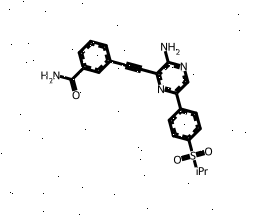 CC(C)S(=O)(=O)c1ccc(-c2cnc(N)c(C#Cc3cccc(C(N)=O)c3)n2)cc1